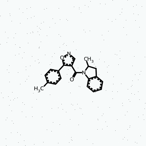 Cc1ccc(-c2oncc2C(=O)N2c3ccccc3CC2C)cc1